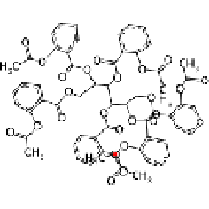 CC(=O)Oc1ccccc1C(=O)OCC(OC(=O)c1ccccc1OC(C)=O)C(OC(=O)c1ccccc1OC(C)=O)C(OC(=O)c1ccccc1OC(C)=O)C(COC(=O)c1ccccc1OC(C)=O)OC(=O)c1ccccc1OC(C)=O